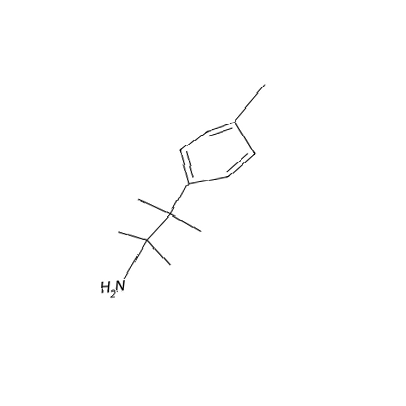 Cc1ccc(C(C)(C)C(C)(C)N)cc1